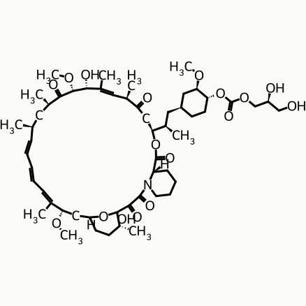 CO[C@H]1C[C@@H]2CC[C@@H](C)[C@@](O)(O2)C(=O)C(=O)N2CCCC[C@H]2C(=O)O[C@H]([C@H](C)C[C@@H]2CC[C@@H](OC(=O)OC[C@@H](O)CO)[C@H](OC)C2)CC(=O)[C@H](C)/C=C(\C)[C@@H](O)[C@@H](OC)C(=O)[C@H](C)C[C@H](C)/C=C/C=C/C=C/1C